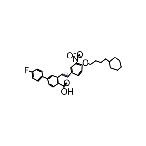 O=C(O)c1ccc(-c2ccc(F)cc2)cc1/C=C/c1ccc(OCCCCC2CCCCC2)c([N+](=O)[O-])c1